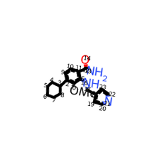 COc1c(C2CCCCC2)ccc(C(N)=O)c1NCc1ccncc1